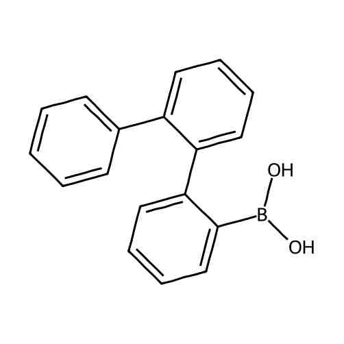 OB(O)c1ccccc1-c1ccccc1-c1ccccc1